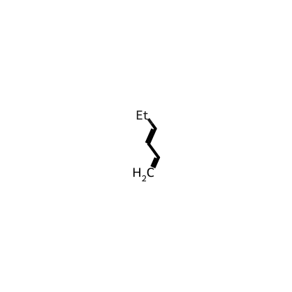 [CH2]C/C=C/C=C